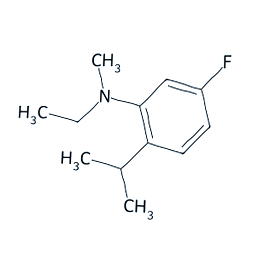 CCN(C)c1cc(F)ccc1C(C)C